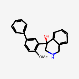 COc1ccc(-c2ccccc2)cc1C1(O)CNCc2ccccc21